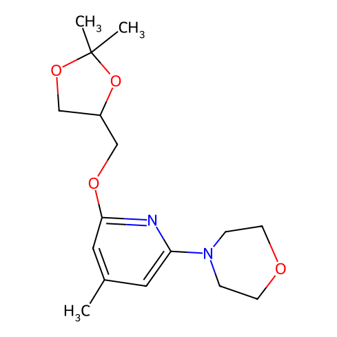 Cc1cc(OCC2COC(C)(C)O2)nc(N2CCOCC2)c1